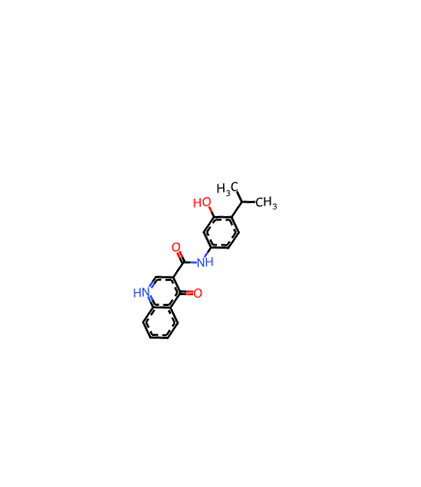 CC(C)c1ccc(NC(=O)c2c[nH]c3ccccc3c2=O)cc1O